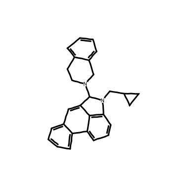 c1ccc2c(c1)CCN(C1c3cc4ccccc4c4cccc(c34)N1CC1CC1)C2